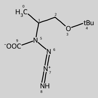 CC(COC(C)(C)C)N(N=[N+]=N)C(=O)[O-]